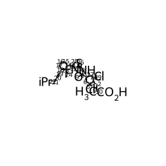 CC(=Cc1c(Cl)cc(C(=O)Nc2nc(-c3cccc(C#CCC(C)C)c3F)cs2)cc1Cl)C(=O)O